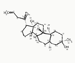 C=CCC(=O)[C@H]1CC[C@H]2[C@@H]3CC[C@@H]4C[C@](C)(O)CC[C@@H]4[C@H]3CC[C@]12C